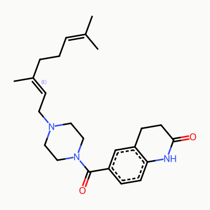 CC(C)=CCC/C(C)=C/CN1CCN(C(=O)c2ccc3c(c2)CCC(=O)N3)CC1